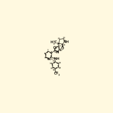 C[C@]1(c2nnc(-c3cccnc3Nc3ccc(C(F)(F)F)cc3)o2)CCNC1=O